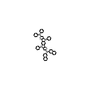 c1ccc(N(c2ccccc2)c2cc3c(s2)c2cc4c(cc2n3-c2ccccc2)c2sc(N(c3ccc5ccccc5c3)c3ccc5ccccc5c3)cc2n4-c2ccccc2)cc1